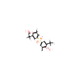 Cc1cc(S(=O)(=O)c2cc(C)c(O)c(C(C)(C)C)c2)cc(C(C)(C)C)c1O